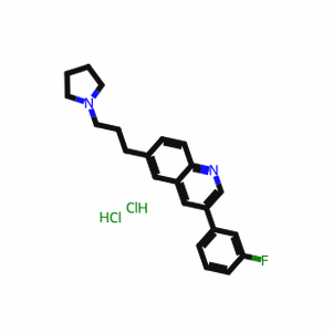 Cl.Cl.Fc1cccc(-c2cnc3ccc(CCCN4CCCC4)cc3c2)c1